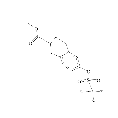 COC(=O)C1CCc2cc(OS(=O)(=O)C(F)(F)F)ccc2C1